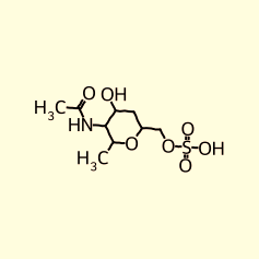 CC(=O)NC1C(O)CC(COS(=O)(=O)O)OC1C